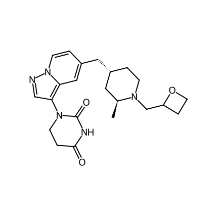 C[C@H]1C[C@H](Cc2ccn3ncc(N4CCC(=O)NC4=O)c3c2)CCN1CC1CCO1